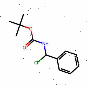 CC(C)(C)OC(=O)NC(Cl)c1ccccc1